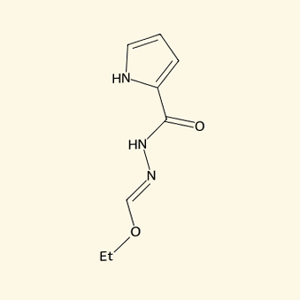 CCOC=NNC(=O)c1ccc[nH]1